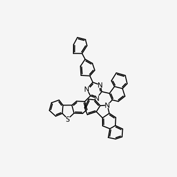 c1ccc(-c2ccc(-c3nc(-c4ccc5sc6ccccc6c5c4)nc(-c4c(-n5c6ccccc6c6cc7ccccc7cc65)ccc5ccccc45)n3)cc2)cc1